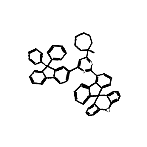 CC1(c2cc(-c3ccc4c(c3)C(c3ccccc3)(c3ccccc3)c3ccccc3-4)nc(-c3cccc4c3-c3ccccc3C43c4ccccc4Oc4ccccc43)n2)CCCCCC1